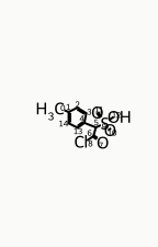 Cc1ccc(C(C(=O)Cl)S(=O)(=O)O)cc1